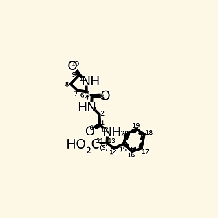 O=C(CNC(=O)[C@@H]1CCC(=O)N1)N[C@@H](Cc1ccccc1)C(=O)O